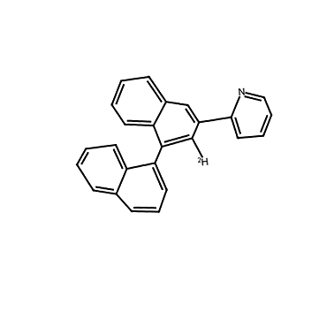 [2H]c1c(-c2ccccn2)cc2ccccc2c1-c1cccc2ccccc12